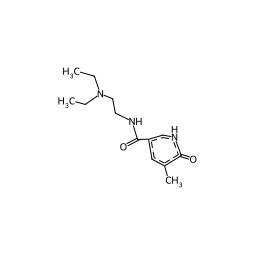 CCN(CC)CCNC(=O)c1c[nH]c(=O)c(C)c1